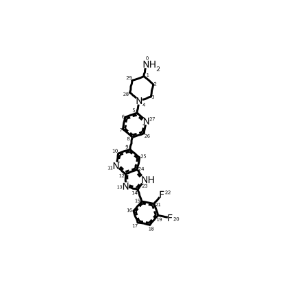 NC1CCN(c2ccc(-c3cnc4nc(-c5cccc(F)c5F)[nH]c4c3)cn2)CC1